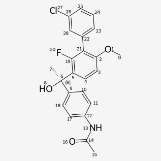 COc1ccc([C@](C)(O)c2ccc(NC(C)=O)cc2)c(F)c1-c1cccc(Cl)c1